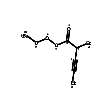 CCC#CC(CC)C(=O)OOOC(C)(C)C